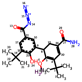 CC(C)(C)C1=C(OP)C(c2cc(C(=O)N=[N+]=[N-])cc(C(C)(C)C)c2O)CC(C(N)=O)=C1